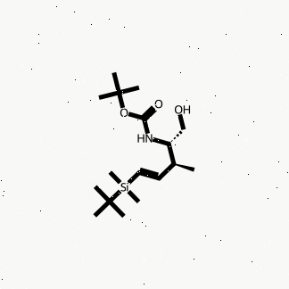 C[C@@H](/C=C/[Si](C)(C)C(C)(C)C)[C@@H](CO)NC(=O)OC(C)(C)C